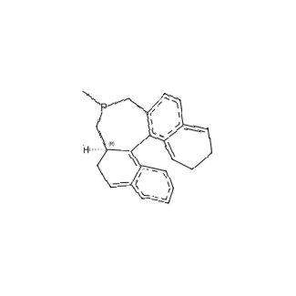 CP1Cc2ccc3c(c2C2=c4ccccc4=CC[C@H]2C1)=CCCC=3